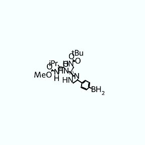 Bc1ccc(C2CNC([C@H](CNC(=O)OC(C)(C)C)NC(=O)[C@@H](NC(=O)OC)C(C)C)=N2)cc1